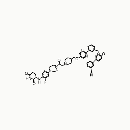 N#Cc1cccc(-c2ccc(=O)n(Cc3cccc(-c4ncc(OCC5CCN(CC(=O)N6CCN(c7ccc(NC8CCC(=O)NC8=O)c(F)c7)CC6)CC5)cn4)c3)n2)c1